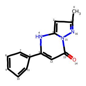 Cc1cc2[nH]c(-c3ccccc3)cc(=O)n2n1